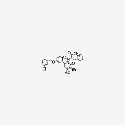 CC(=O)N1C=C(c2cccc(OCc3cccc(Cl)c3)c2)N(N(C(C)=O)C(Cc2ccccc2)C(=O)C(F)(F)F)C(=O)[C@H]1C(C)C